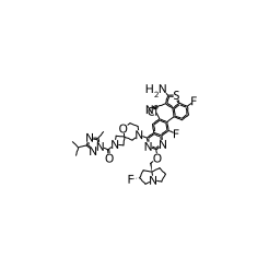 Cc1nc(C(C)C)nn1C(=O)N1CC2(C1)CN(c1nc(OC[C@@]34CCCN3C[C@H](F)C4)nc3c(F)c(-c4ccc(F)c5sc(N)c(C#N)c45)c(Cl)cc13)CCO2